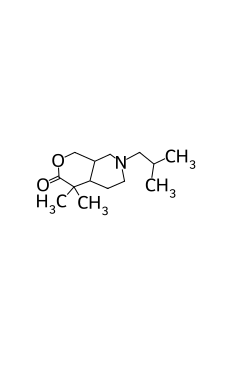 CC(C)CN1CCC2C(COC(=O)C2(C)C)C1